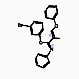 CC(=C\Oc1ccccc1)/C(=N/c1ccccc1)Oc1cccc(Br)c1